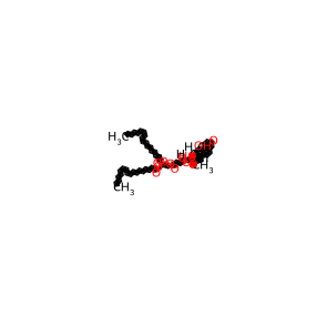 CCCCC/C=C\C/C=C\CCCCCCCC(=O)OC[C@H](COC(=O)CCC(=O)OCC(=O)[C@@]1(O)[C@H](C)CC2[C@@H]3CCC4=CC(=O)C=C[C@]4(C)C3[C@@H](O)C[C@@]21C)OC(=O)CCCCCCC/C=C\C/C=C\CCCCC